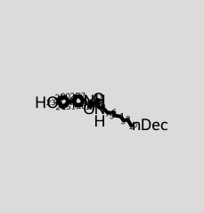 CCCCCCCCCCCCCCCCCCNC(=O)C(=O)Nc1ccc(-c2ccc(O)cc2)cc1